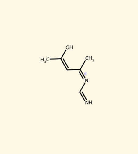 CC(O)=C/C(C)=N\C=N